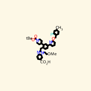 COCCn1c(Cc2ccc(-c3cccc(OCc4ccc(C)cc4F)n3)cc2C2=CCN(C(=O)OC(C)(C)C)CC2)nc2ccc(C(=O)O)cc21